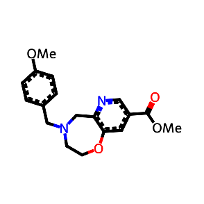 COC(=O)c1cnc2c(c1)OCCN(Cc1ccc(OC)cc1)C2